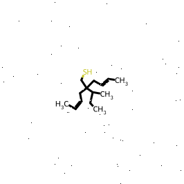 CC=CCC(CS)(C/C=C\C)C(C)CC